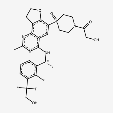 Cc1nc(N[C@H](C)c2cccc(C(F)(F)CO)c2F)c2cc(P3(=O)CCN(C(=O)CO)CC3)c3c(c2n1)CCO3